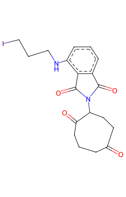 O=C1CCCC(=O)C(N2C(=O)c3cccc(NCCCI)c3C2=O)CC1